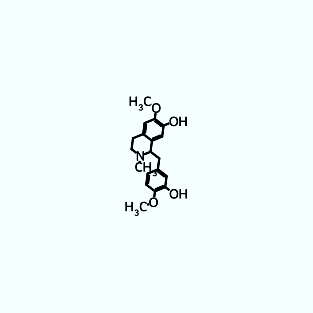 COc1ccc(CC2c3cc(O)c(OC)cc3CCN2C)cc1O